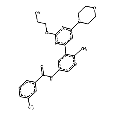 Cc1ncc(NC(=O)c2cccc(C(F)(F)F)c2)cc1-c1cc(N2CCOCC2)nc(OCCO)n1